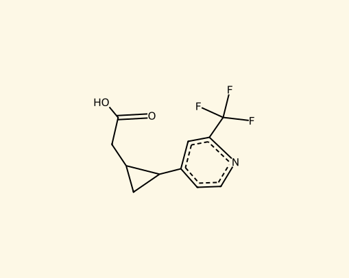 O=C(O)CC1CC1c1ccnc(C(F)(F)F)c1